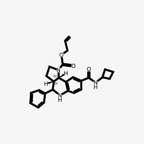 C=CCOC(=O)N1CC[C@H]2C(c3ccccc3)Nc3ccc(C(=O)NC4CCC4)cc3[C@H]21